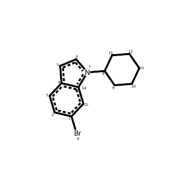 Brc1ccc2ccn(C3CCCCC3)c2c1